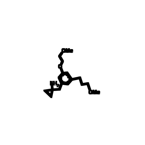 COCCCc1cc(CC2(N)CC2)cc(OCCOC)c1